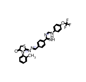 Cc1ccccc1N1C(=O)CS/C1=N\N=C\c1ccc(C(=N)/N=C\Nc2ccc(OC(F)(F)F)cc2)cc1